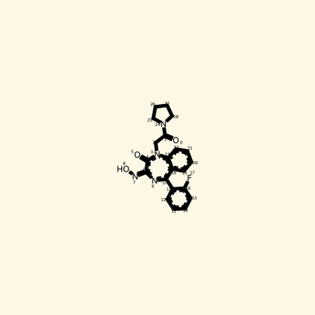 O=C(Cn1c(=O)/c(=N\O)nc(-c2ccccc2F)c2ccccc21)N1CCCC1